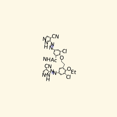 CCOc1c(Cl)cc(/N=N/c2[nH]ncc2C#N)cc1CCOc1c(Cl)cc(/N=N/c2[nH]ncc2C#N)cc1NC(C)=O